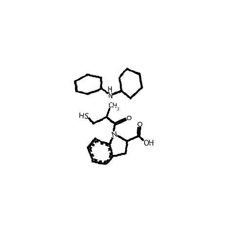 C1CCC(NC2CCCCC2)CC1.CC(CS)C(=O)N1c2ccccc2CC1C(=O)O